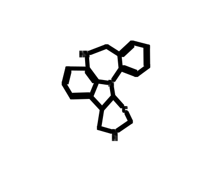 c1ccc2c(c1)CNc1cccc3c1N2C1CCNCC31